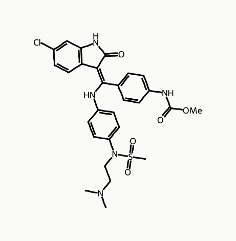 COC(=O)Nc1ccc(C(Nc2ccc(N(CCN(C)C)S(C)(=O)=O)cc2)=C2C(=O)Nc3cc(Cl)ccc32)cc1